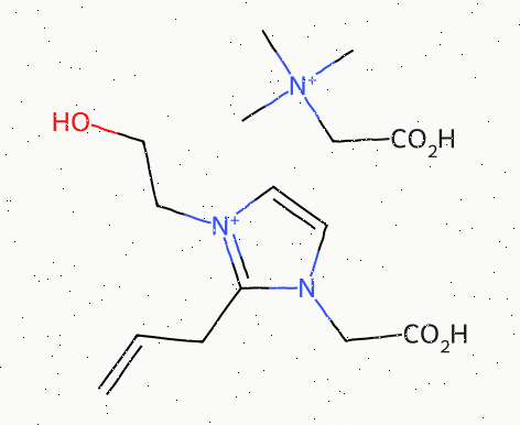 C=CCc1n(CC(=O)O)cc[n+]1CCO.C[N+](C)(C)CC(=O)O